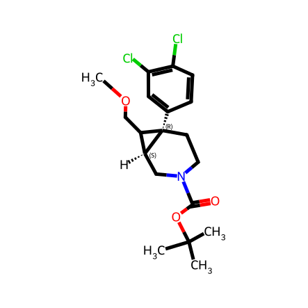 COCC1[C@@H]2CN(C(=O)OC(C)(C)C)CC[C@]12c1ccc(Cl)c(Cl)c1